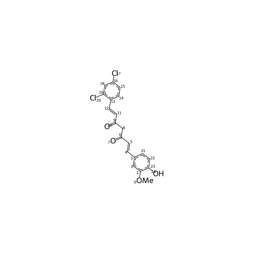 COc1cc(C=CC(=O)CC(=O)C=Cc2ccc(Cl)cc2Cl)ccc1O